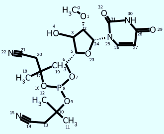 CO[C@H]1C(O)[C@@H](COP(OC(C)(C)CC#N)OC(C)(C)CC#N)O[C@H]1n1ccc(=O)[nH]c1=O